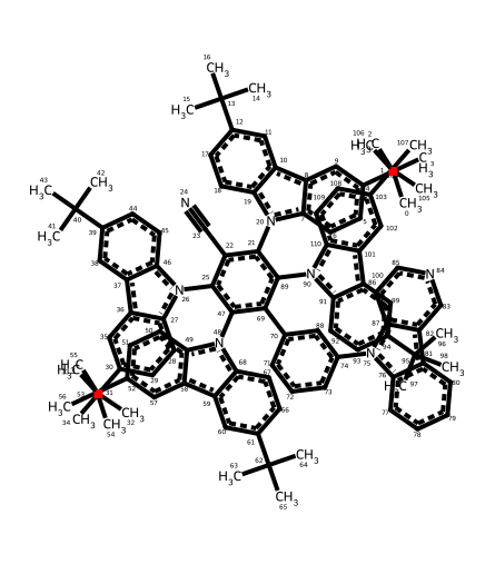 CC(C)(C)c1ccc2c(c1)c1cc(C(C)(C)C)ccc1n2-c1c(C#N)c(-n2c3ccc(C(C)(C)C)cc3c3cc(C(C)(C)C)ccc32)c(-n2c3ccc(C(C)(C)C)cc3c3cc(C(C)(C)C)ccc32)c(-c2cccc(-n3c4ccccc4c4cnccc43)c2)c1-n1c2ccc(C(C)(C)C)cc2c2cc(C(C)(C)C)ccc21